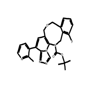 Cc1ncccc1-c1cc2c(n3cnnc13)N(C(=O)OC(C)(C)C)Cc1c(F)cccc1COC2